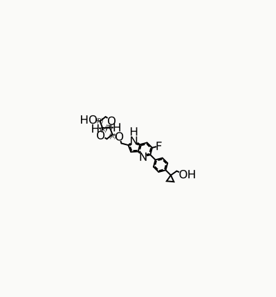 OCC1(c2ccc(-c3nc4cc(CO[C@@H]5CO[C@H]6[C@@H]5OC[C@H]6O)[nH]c4cc3F)cc2)CC1